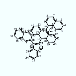 CC12C=CC=CC1=CC=CC2c1c2ccccc2c(-c2oc3ccccc3c2-c2ccc3ncccc3c2)c2ccccc12